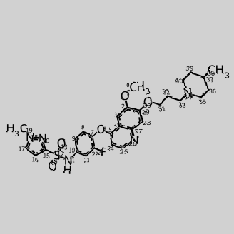 COc1cc2c(Oc3ccc(NS(=O)(=O)c4ccn(C)n4)cc3F)ccnc2cc1OCCCN1CCC(C)CC1